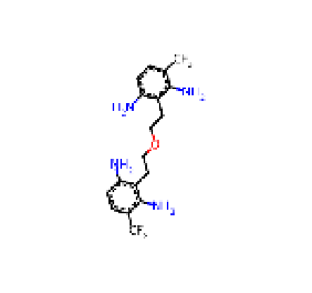 Nc1ccc(C(F)(F)F)c(N)c1CCOCCc1c(N)ccc(C(F)(F)F)c1N